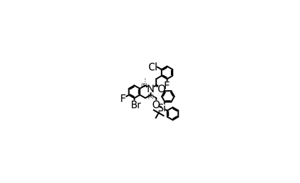 C[C@H]1c2ccc(F)c(Br)c2C[C@H](CO[Si](c2ccccc2)(c2ccccc2)C(C)(C)C)N1C(=O)Cc1c(F)cccc1Cl